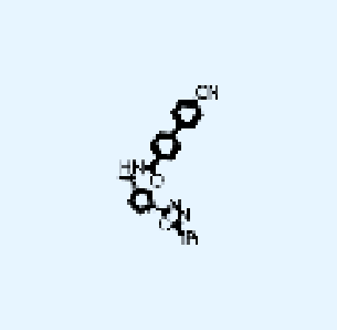 CC(C)c1nnc([C@H]2CC[C@@H](C(C)NC(=O)c3ccc(-c4ccc(C#N)cc4)cc3)C2)o1